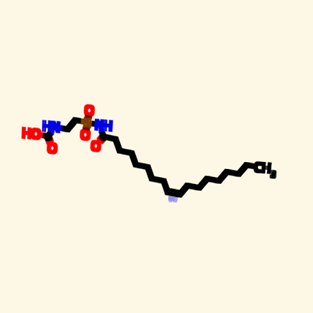 CCCCCCCC/C=C\CCCCCCCC(=O)NS(=O)(=O)CCNC(=O)O